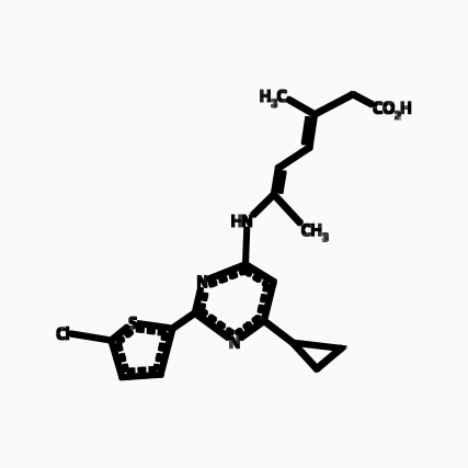 C/C(=C\C=C(/C)Nc1cc(C2CC2)nc(-c2ccc(Cl)s2)n1)CC(=O)O